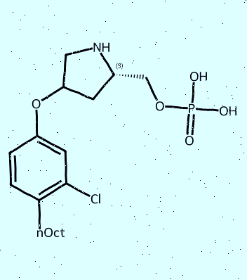 CCCCCCCCc1ccc(OC2CN[C@H](COP(=O)(O)O)C2)cc1Cl